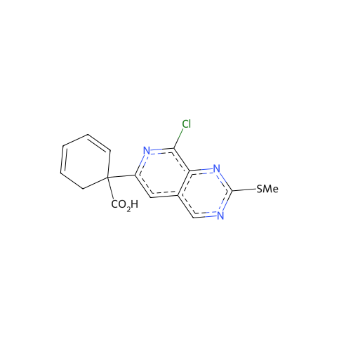 CSc1ncc2cc(C3(C(=O)O)C=CC=CC3)nc(Cl)c2n1